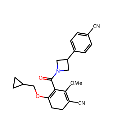 COC1=C(C#N)CCC(OCC2CC2)=C1C(=O)N1CC(c2ccc(C#N)cc2)C1